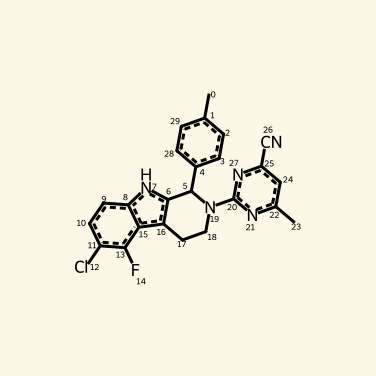 Cc1ccc(C2c3[nH]c4ccc(Cl)c(F)c4c3CCN2c2nc(C)cc(C#N)n2)cc1